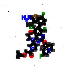 N#Cc1c(N)sc2c(F)ccc(-c3c(Cl)c4c5c(nc(OC[C@@]67CCCN6C[C@H](F)C7)nc5c3F)N(C3CCN(C(=O)COC5CC5)C3)CCO4)c12